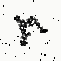 COCCOc1ccn2c(-c3cc(-c4cnco4)c4cccc(O[C@H]5CCN(C(=O)OC(C)(C)C)C[C@@H]5F)c4n3)cnc2c1